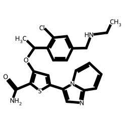 CCNCc1ccc(C(C)Oc2cc(-c3cnc4ccccn34)sc2C(N)=O)c(Cl)c1